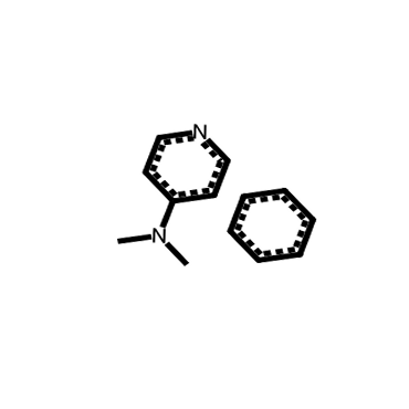 CN(C)c1ccncc1.c1ccccc1